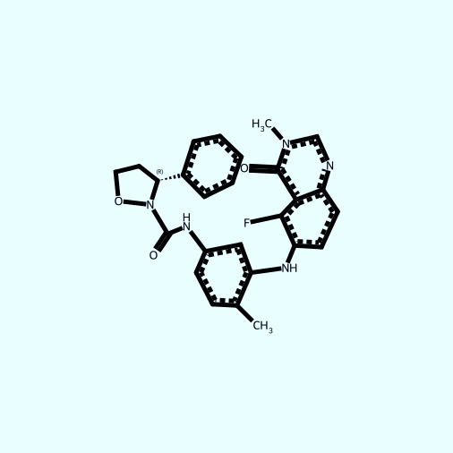 Cc1ccc(NC(=O)N2OCC[C@@H]2c2ccccc2)cc1Nc1ccc2ncn(C)c(=O)c2c1F